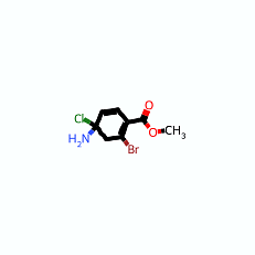 COC(=O)C1=C(Br)CC(N)(Cl)C=C1